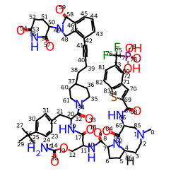 CN1CC[C@H]2CC[C@@H](C(=O)NC(COC(N)=O)C(=O)NC(Cc3ccc(C(C)(C)C)cc3)C(=O)N3CCC(CCC#Cc4cccc5c4CN(C4CCC(=O)NC4=O)C5=O)CC3)N2C(=O)[C@@H](NC(=O)c2cc3cc(C(F)(F)P(=O)(O)O)ccc3s2)C1